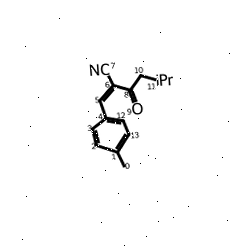 Cc1ccc(C=C(C#N)C(=O)CC(C)C)cc1